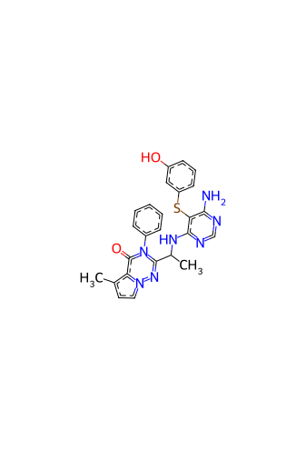 Cc1ccn2nc(C(C)Nc3ncnc(N)c3Sc3cccc(O)c3)n(-c3ccccc3)c(=O)c12